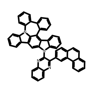 c1ccc2c(c1)-c1ccccc1-n1c3ccccc3c3cc4c(c-2c31)c1ccccc1n4-c1nc2ccccc2nc1-c1ccc2ccc3ccccc3c2c1